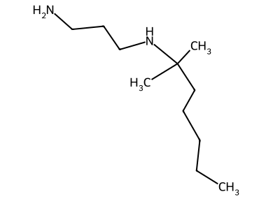 CCCCCC(C)(C)NCCCN